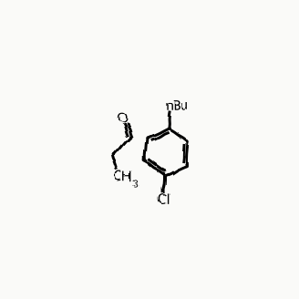 CCC=O.CCCCc1ccc(Cl)cc1